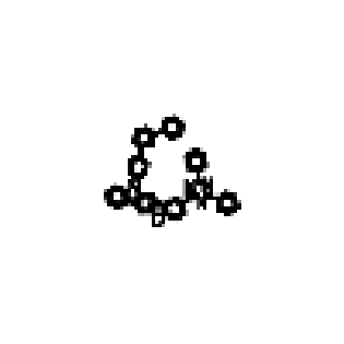 c1ccc(-c2cccc(-c3ccc(-n4c5ccccc5c5cc6oc7ccc(-c8nc(-c9ccccc9)nc(-c9ccccc9)n8)cc7c6cc54)cc3)c2)cc1